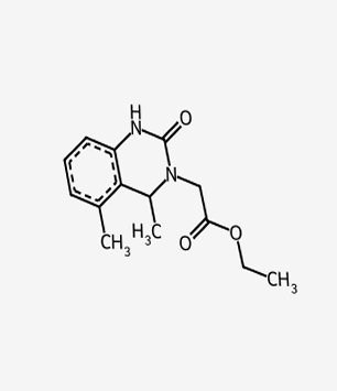 CCOC(=O)CN1C(=O)Nc2cccc(C)c2C1C